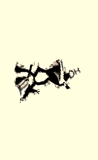 Cn1c(O)nc2cc(C(C)(C)C)c(C(F)(F)F)cc21